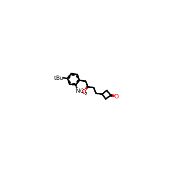 CC(C)(C)c1ccc(CC(=O)CCC2CC(=O)C2)c([N+](=O)[O-])c1